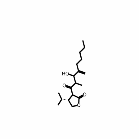 C=C(CCCCC)C(O)C(C)C(=O)C1C(=O)OC[C@@H]1C(C)C